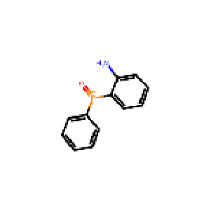 Nc1ccccc1[PH](=O)c1ccccc1